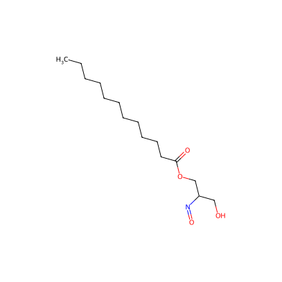 CCCCCCCCCCCC(=O)OCC(CO)N=O